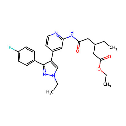 CCOC(=O)CC(CC)CC(=O)Nc1cc(-c2cn(CC)nc2-c2ccc(F)cc2)ccn1